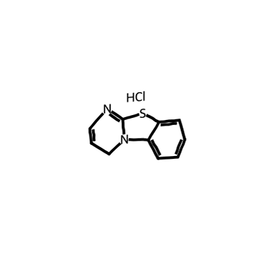 C1=CN=C2Sc3ccccc3N2C1.Cl